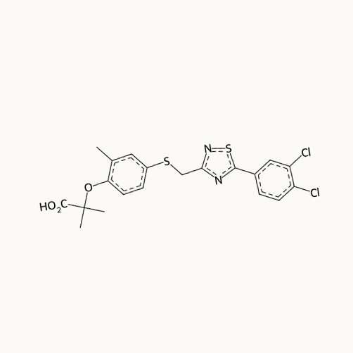 Cc1cc(SCc2nsc(-c3ccc(Cl)c(Cl)c3)n2)ccc1OC(C)(C)C(=O)O